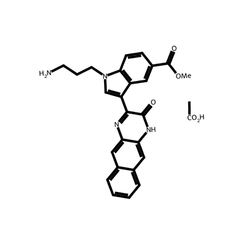 CC(=O)O.COC(=O)c1ccc2c(c1)c(-c1nc3cc4ccccc4cc3[nH]c1=O)cn2CCCN